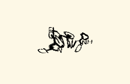 CN(CC[C@H]1C(=O)Nc2ccccc21)C(=O)[C@H](CC(C)(C)F)N1Cc2ncc(Cl)cc2C1=O